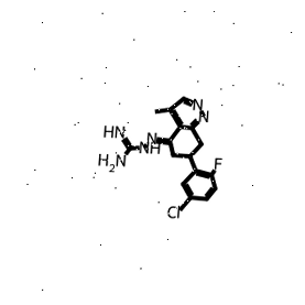 Cc1cnnc2c1C(=NNC(=N)N)CC(c1cc(Cl)ccc1F)C2